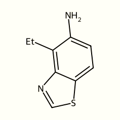 CCc1c(N)ccc2scnc12